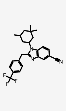 CC1CC(n2c(Cc3ccc(C(F)(F)F)cc3)nc3cc(C#N)ccc32)CC(C)(C)C1